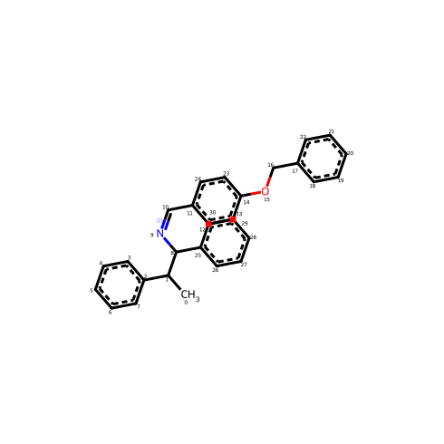 CC(c1ccccc1)C(/N=C\c1ccc(OCc2ccccc2)cc1)c1ccccc1